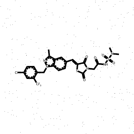 Cc1nn(Cc2ccc(Cl)cc2C(F)(F)F)c2ccc(/C=C3\SC(=O)N(CC(=O)NS(=O)(=O)N(C)C)C3=O)cc12